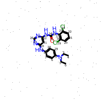 CCN(CC)c1ccc(Nc2cc(NC(=O)Nc3c(Cl)cccc3Cl)ncn2)cc1